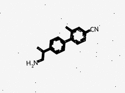 Cc1cc(C#N)ccc1-c1ccc(C(C)CN)cc1